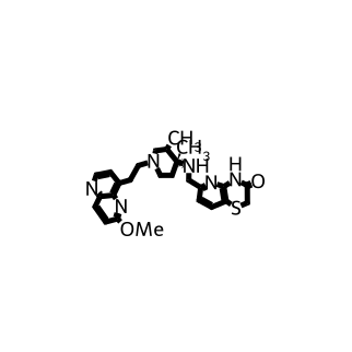 COc1ccc2nccc(CCN3CC[C@](C)(NCc4ccc5c(n4)NC(=O)CS5)C(C)C3)c2n1